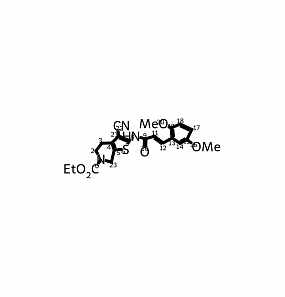 CCOC(=O)N1CCc2c(sc(NC(=O)/C=C/c3cc(OC)ccc3OC)c2C#N)C1